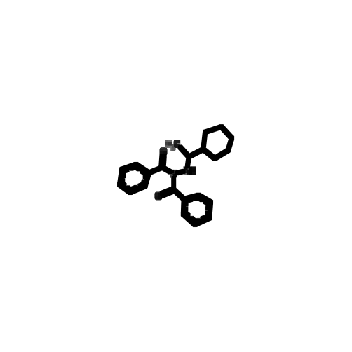 CC(NN(C(=O)c1ccccc1)C(=O)c1ccccc1)C1CCCCC1